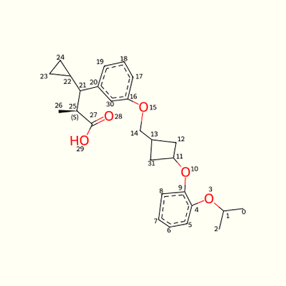 CC(C)Oc1ccccc1OC1CC(COc2cccc(C(C3CC3)[C@H](C)C(=O)O)c2)C1